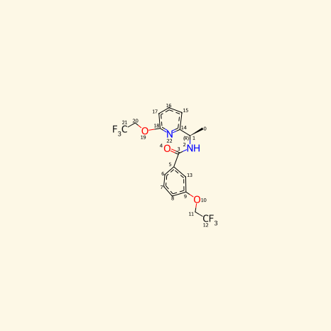 C[C@@H](NC(=O)c1cccc(OCC(F)(F)F)c1)c1cccc(OCC(F)(F)F)n1